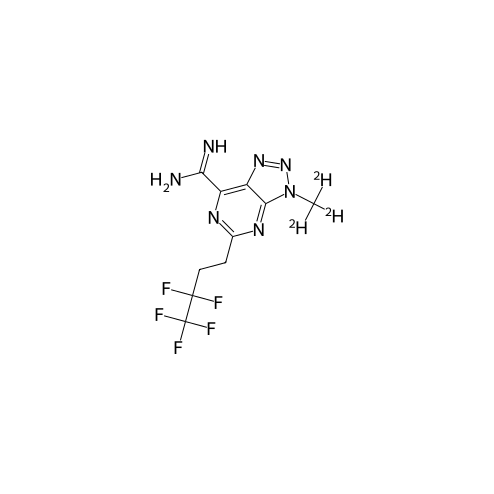 [2H]C([2H])([2H])n1nnc2c(C(=N)N)nc(CCC(F)(F)C(F)(F)F)nc21